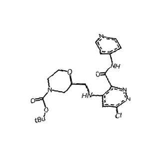 CC(C)(C)OC(=O)N1CCOC(CNc2cc(Cl)nnc2C(=O)Nc2ccncc2)C1